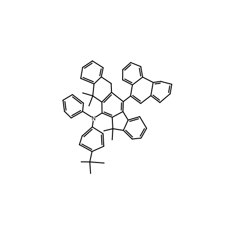 CC(C)(C)c1ccc(N(c2ccccc2)c2c3c(c(-c4cc5ccccc5c5ccccc45)c4c2C(C)(C)c2ccccc2-4)Cc2ccccc2C3(C)C)cc1